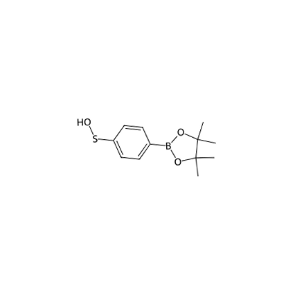 CC1(C)OB(c2ccc(SO)cc2)OC1(C)C